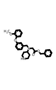 COc1ccccc1Oc1cccc(CN(CC(=O)OCc2ccccc2)C2CCNCC2)c1